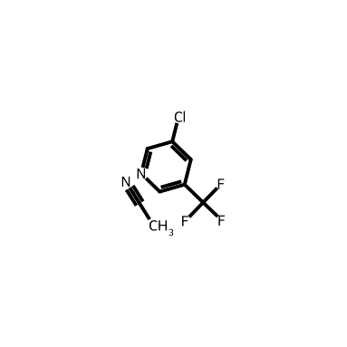 CC#N.FC(F)(F)c1cncc(Cl)c1